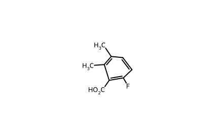 Cc1ccc(F)c(C(=O)O)c1C